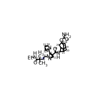 CCNC(=O)C(C)(C)/C=C/n1ncc(C(=O)NC2C3CC4CC2CC(OC(N)=O)(C4)C3)c1-n1cccn1